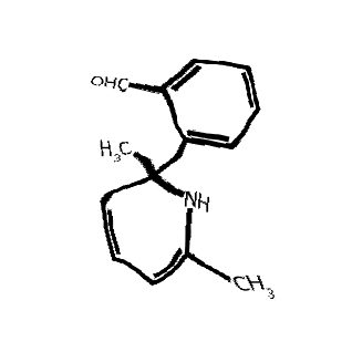 CC1=CC=CC(C)(c2ccccc2C=O)N1